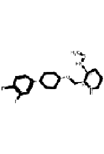 CSN[C@H]1CCCN[C@H]1CO[C@H]1CC[C@@H](c2ccc(F)c(F)c2)CC1